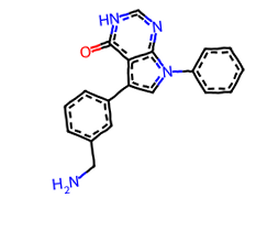 NCc1cccc(-c2cn(-c3ccccc3)c3nc[nH]c(=O)c23)c1